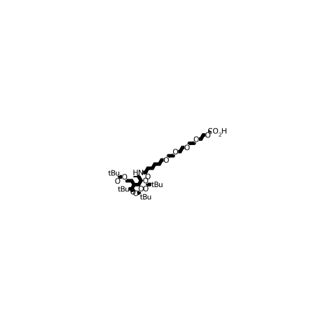 C[C@@H](NC(=O)CCCCCOCCOCCOCCOCCOC(=O)O)[C@H](OC(=O)C(C)(C)C)[C@H](OC(=O)C(C)(C)C)C(CCOC(=O)C(C)(C)C)C(=O)C(C)(C)C